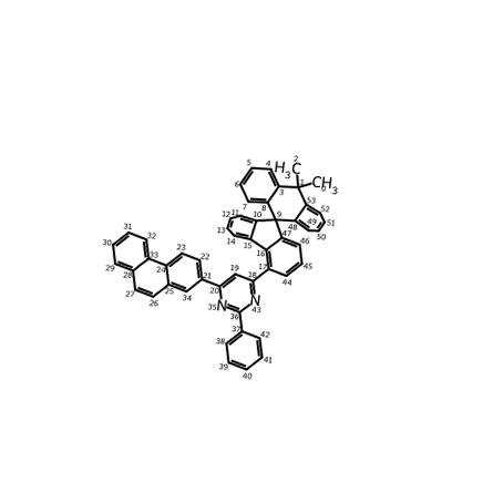 CC1(C)c2ccccc2C2(c3ccccc3-c3c(-c4cc(-c5ccc6c(ccc7ccccc76)c5)nc(-c5ccccc5)n4)cccc32)c2ccccc21